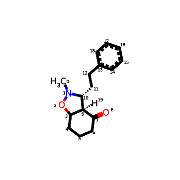 CN1OC2CCCC(=O)[C@@H]2[C@H]1CCc1ccccc1